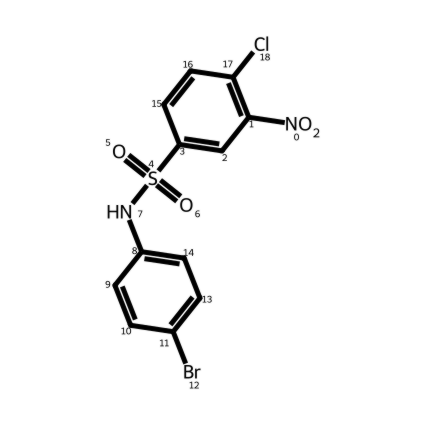 O=[N+]([O-])c1cc(S(=O)(=O)Nc2ccc(Br)cc2)ccc1Cl